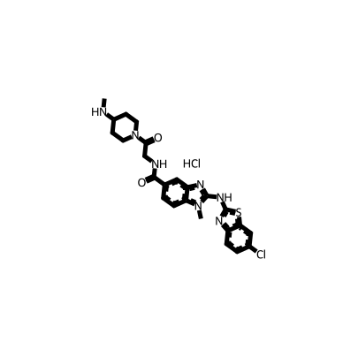 CNC1CCN(C(=O)CNC(=O)c2ccc3c(c2)nc(Nc2nc4ccc(Cl)cc4s2)n3C)CC1.Cl